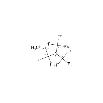 CSC(F)(F)N(C(F)(F)F)C(F)(F)F